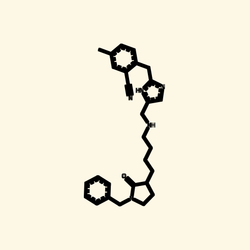 Cc1ccc(Cc2ncc(CNCCCCC3CCN(Cc4ccccc4)C3=O)[nH]2)c(C#N)c1